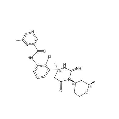 Cc1cncc(C(=O)Nc2cccc([C@]3(C)CC(=O)N([C@@H]4CCO[C@H](C)C4)C(=N)N3)c2Cl)n1